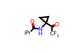 CC(C)C(=O)NC1(C(=O)C(F)(F)F)CC1